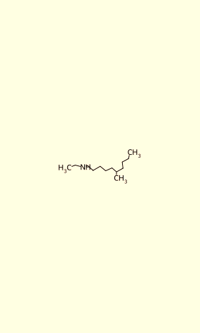 CCCCC(C)CCCCCNCC